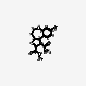 CC(C)OC(=O)C1SC2=C(c3ccc(Br)cc3OCC2)N1C(N)=O